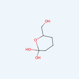 OCC1CCCC(O)(O)O1